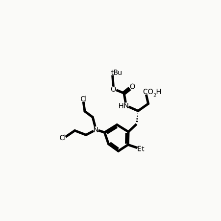 CCc1ccc(N(CCCl)CCCl)cc1C[C@@H](CC(=O)O)NC(=O)OC(C)(C)C